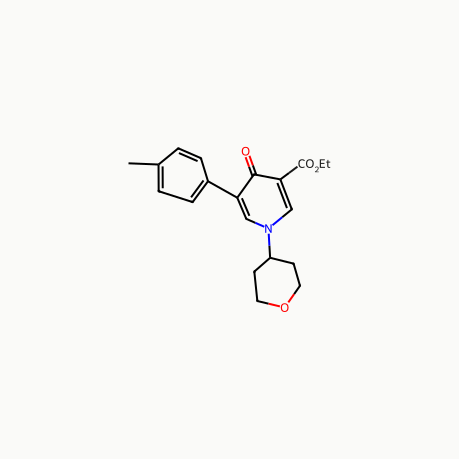 CCOC(=O)c1cn(C2CCOCC2)cc(-c2ccc(C)cc2)c1=O